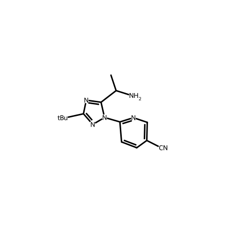 CC(N)c1nc(C(C)(C)C)nn1-c1ccc(C#N)cn1